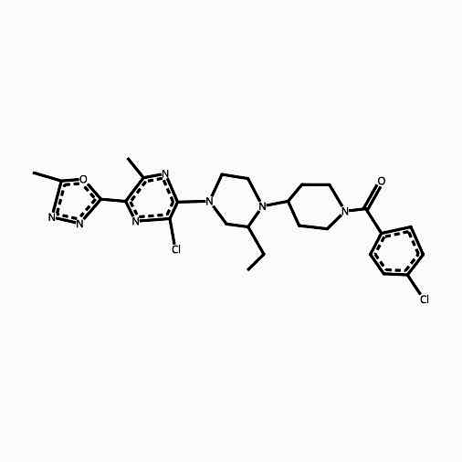 CCC1CN(c2nc(C)c(-c3nnc(C)o3)nc2Cl)CCN1C1CCN(C(=O)c2ccc(Cl)cc2)CC1